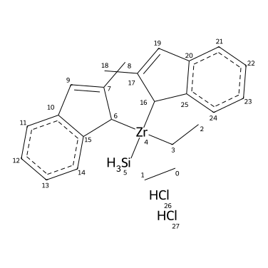 CC.C[CH2][Zr]([SiH3])([CH]1C(C)=Cc2ccccc21)[CH]1C(C)=Cc2ccccc21.Cl.Cl